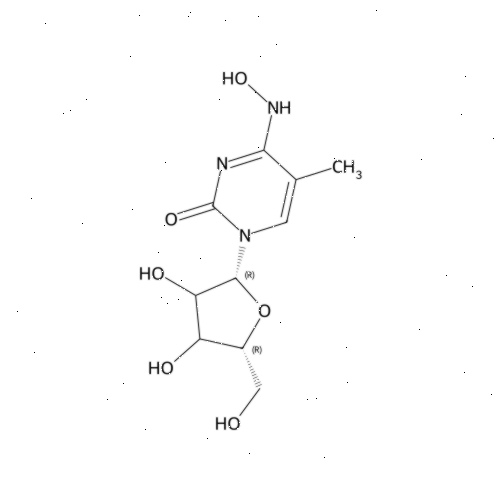 Cc1cn([C@@H]2O[C@H](CO)C(O)C2O)c(=O)nc1NO